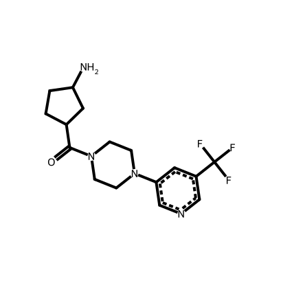 NC1CCC(C(=O)N2CCN(c3cncc(C(F)(F)F)c3)CC2)C1